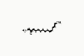 CCCC/C=C\CCCCCCCC(=O)CC